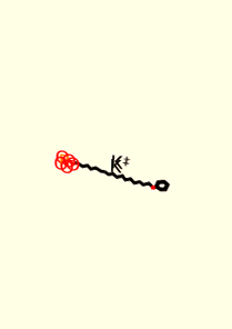 O=P([O-])([O-])OOCCCCCCCCCCCCCCCCCCc1ccccc1.[K+].[K+]